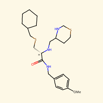 COc1ccc(CNC(=O)[C@H](CSCC2CCCCC2)NCC2CCSCN2)cc1